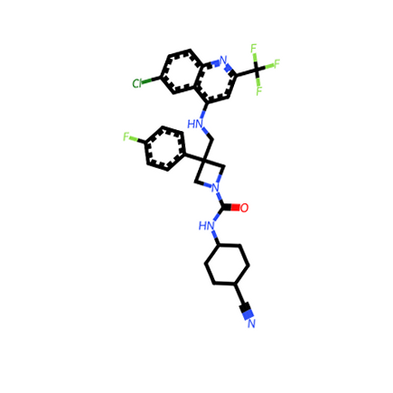 N#CC1CCC(NC(=O)N2CC(CNc3cc(C(F)(F)F)nc4ccc(Cl)cc34)(c3ccc(F)cc3)C2)CC1